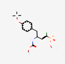 CCC(C)OP(=O)(O)C(Cl)=CC(Cc1ccc(O[Si](C)(C)C(C)(C)C)cc1)NC(=O)OC(C)(C)C